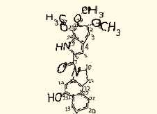 COc1cc2cc(C(=O)N3CCc4c3cc(O)c3ccccc43)[nH]c2c(OC)c1OC